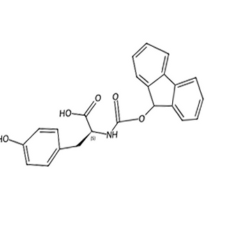 O=C(N[C@@H](Cc1ccc(O)cc1)C(=O)O)OC1c2ccccc2-c2ccccc21